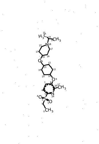 CCS(=O)(=O)c1ccc(OC2CCC(OC3CCN(C(C)C)CC3)CC2)c(C)n1